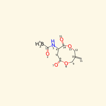 BC(=O)NC1CC(=O)OCC(=C)COC1=O